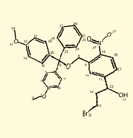 COc1ccc(C(OCc2cc(C(O)CCBr)ccc2[N+](=O)[O-])(c2ccccc2)c2ccc(OC)cc2)cc1